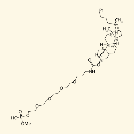 COP(=O)(O)OCCOCCOCCOCCOCCCNC(=O)O[C@H]1CC[C@@]2(C)C(=CC[C@H]3[C@@H]4CC[C@H]([C@H](C)CCCC(C)C)[C@@]4(C)CC[C@@H]32)C1